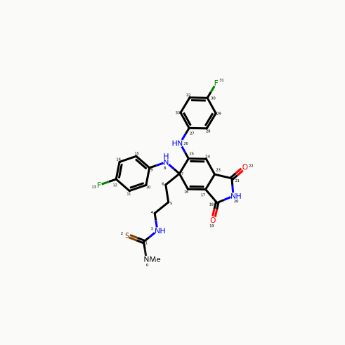 CNC(=S)NCCCC1(Nc2ccc(F)cc2)C=C2C(=O)NC(=O)C2C=C1Nc1ccc(F)cc1